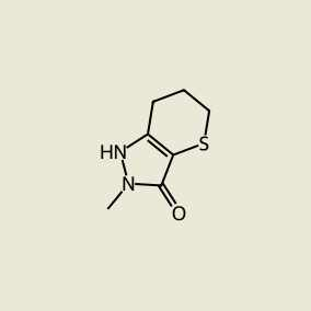 Cn1[nH]c2c(c1=O)SCCC2